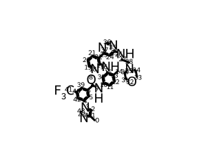 Cc1cn(-c2cc(C(=O)Nc3ccc(C)c(Nc4ncccc4-c4cc(NCCN5CCOCC5)ncn4)c3)cc(C(F)(F)F)c2)cn1